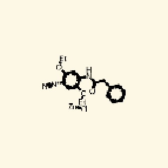 CCOc1cc(NC(=O)Cc2ccccc2)c(OCC)cc1[N+]#N.[Cl][Zn-]